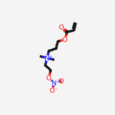 C=CC(=O)OCCC[N+](C)(C)CCO[N+](=O)[O-]